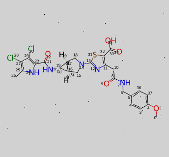 COc1ccc(CNC(=O)Cc2nc(N3C[C@@H]4[C@H](C3)[C@H]4NC(=O)c3[nH]c(C)c(Cl)c3Cl)sc2C(=O)O)cc1